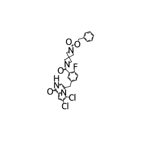 O=C(OCc1ccccc1)N1CC2(C1)CN(C(=O)c1cc(Cc3c[nH]c(=O)c4cc(Cl)c(Cl)n34)ccc1F)C2